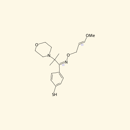 CO/C=C/CO/N=C(/c1ccc(S)cc1)C(C)(C)N1CCOCC1